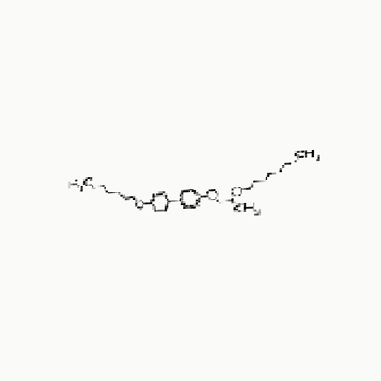 CCCCCCCCOC(C)COc1ccc(-c2ccc(OCCCCCCC)cc2)cc1